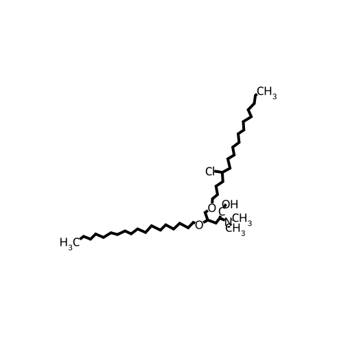 CCCCCCCCCCCCCCCCCCOC(COCCCCC(Cl)CCCCCCCCCCCCC)CC(CO)N(C)C